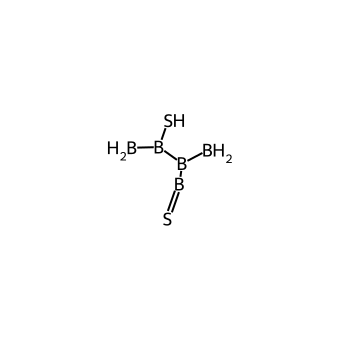 BB(S)B(B)B=S